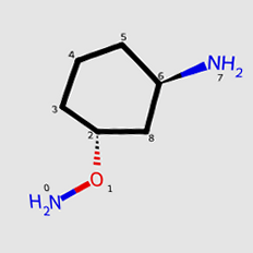 NO[C@@H]1CCC[C@@H](N)C1